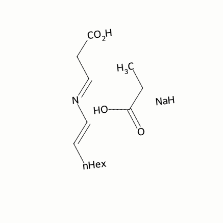 CCC(=O)O.CCCCCCC=CN=CCC(=O)O.[NaH]